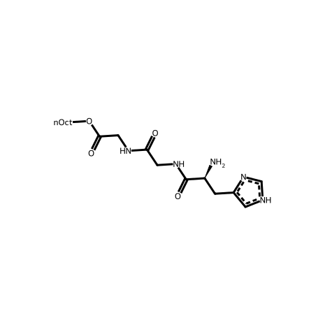 CCCCCCCCOC(=O)CNC(=O)CNC(=O)[C@@H](N)Cc1c[nH]cn1